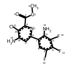 COC(=O)c1nc(-c2cc(F)c(F)c(F)c2N)cc(N)c1Cl